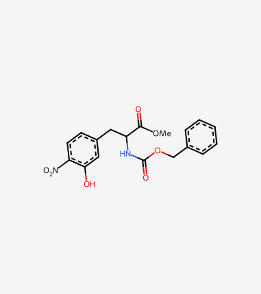 COC(=O)C(Cc1ccc([N+](=O)[O-])c(O)c1)NC(=O)OCc1ccccc1